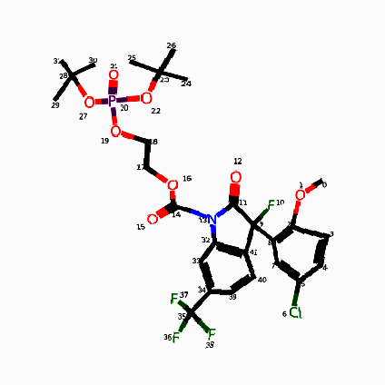 COc1ccc(Cl)cc1C1(F)C(=O)N(C(=O)OCCOP(=O)(OC(C)(C)C)OC(C)(C)C)c2cc(C(F)(F)F)ccc21